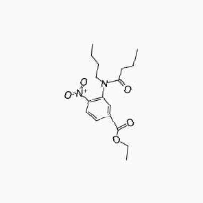 CCCCN(C(=O)CCC)c1cc(C(=O)OCC)ccc1[N+](=O)[O-]